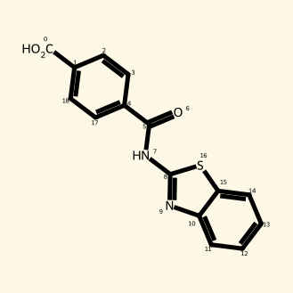 O=C(O)c1ccc(C(=O)Nc2nc3ccccc3s2)cc1